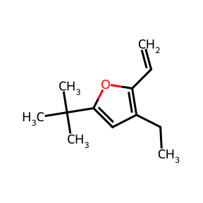 C=Cc1oc(C(C)(C)C)cc1CC